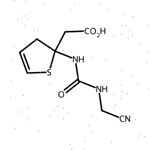 N#CCNC(=O)NC1(CC(=O)O)CC=CS1